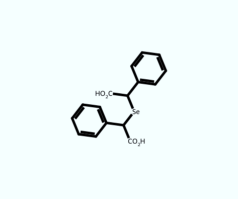 O=C(O)C([Se]C(C(=O)O)c1ccccc1)c1ccccc1